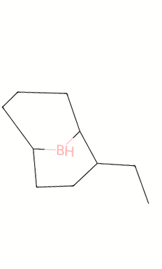 CCC1CCC2BC1CCC2